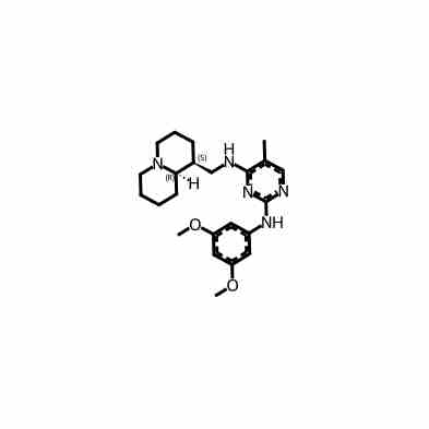 COc1cc(Nc2ncc(C)c(NC[C@@H]3CCCN4CCCC[C@H]34)n2)cc(OC)c1